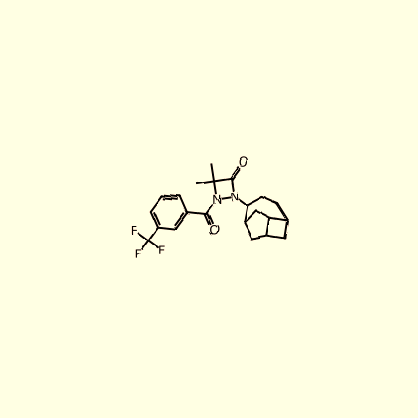 CC1(C)C(=O)N(C2CCC3CC4CC2CC34)N1C(=O)c1cccc(C(F)(F)F)c1